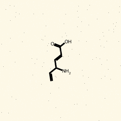 C=CC(N)C=CC(=O)O